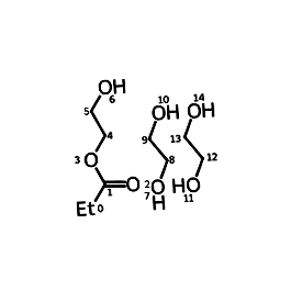 CCC(=O)OCCO.OCCO.OCCO